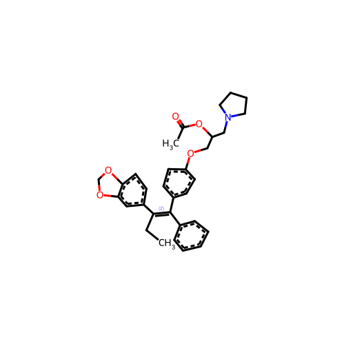 CC/C(=C(\c1ccccc1)c1ccc(OCC(CN2CCCC2)OC(C)=O)cc1)c1ccc2c(c1)OCO2